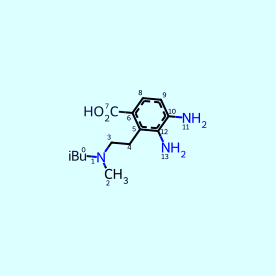 CCC(C)N(C)CCc1c(C(=O)O)ccc(N)c1N